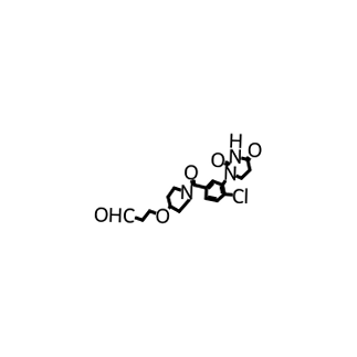 O=CCCOC1CCN(C(=O)c2ccc(Cl)c(N3CCC(=O)NC3=O)c2)CC1